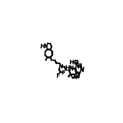 CC(=O)[C@H](CCN(CCCCC1=C(\C)CCC2=C(/C=C\1)CCCN2)CC(F)F)Nc1c2c(nc[n+]1O)=C[N+]=2C